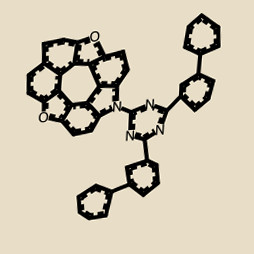 c1ccc(-c2cccc(-c3nc(-c4cccc(-c5ccccc5)c4)nc(-n4c5ccc6oc7ccc8ccc9oc%10ccc4c4c%10c9c8c7c6c45)n3)c2)cc1